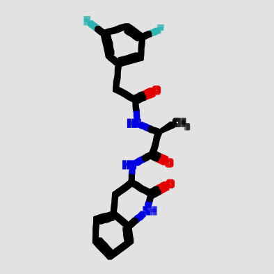 C[C@H](NC(=O)Cc1cc(F)cc(F)c1)C(=O)NC1Cc2ccccc2NC1=O